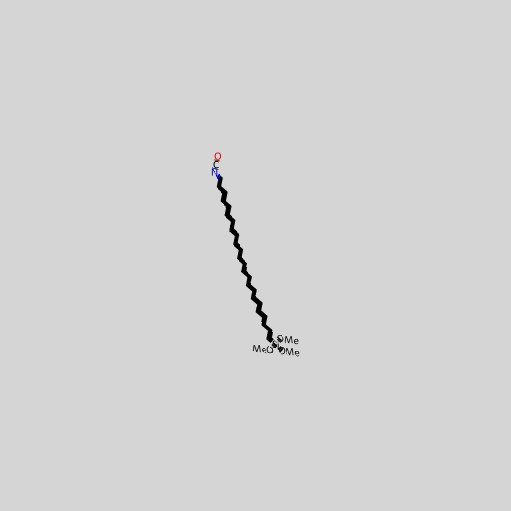 CO[Si](CCCCCCCCCCCCCCCCCCCCCCCCN=C=O)(OC)OC